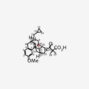 COc1ccc2c(c1)[C@]13CCN(CC4CC4)[C@H](C2)[C@]12CCC1C3[C@@H](CN1C(=O)C(C)(C)C(=O)O)C2